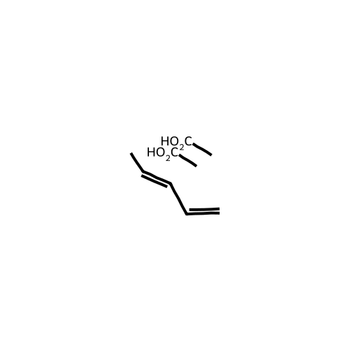 C=CC=CC.CC(=O)O.CC(=O)O